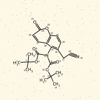 CC(C)(C)OC(=O)N(C(=O)OC(C)(C)C)c1c(CC#N)ccc2oc(=O)ccc12